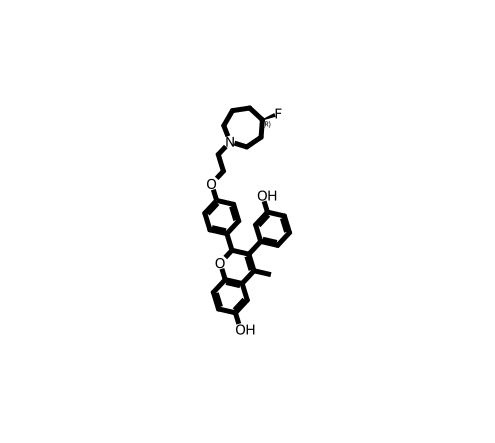 CC1=C(c2cccc(O)c2)C(c2ccc(OCCN3CCC[C@@H](F)CC3)cc2)Oc2ccc(O)cc21